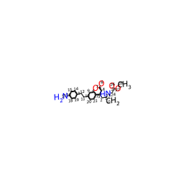 C=C(Cc1cc(=O)oc2cc(CCc3ccc(N)cc3)ccc12)NCC(=O)OC